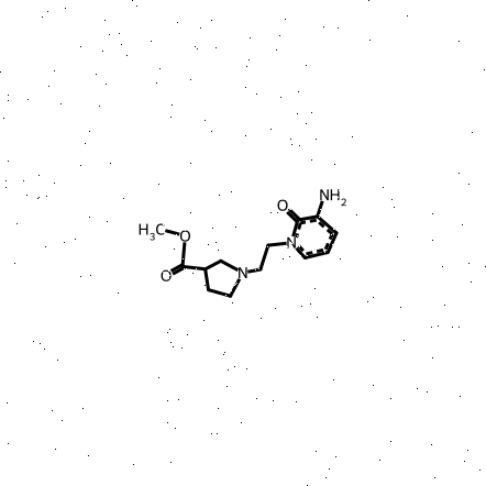 COC(=O)C1CCN(CCn2cccc(N)c2=O)C1